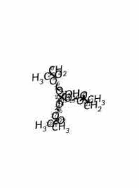 C=C(C)C(=O)OCCOCC(CO)(COCCOC(=O)C(=C)C)COCCOC(=O)C(C)C